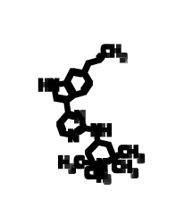 C=CCc1ccc2c(-c3ccnc(NC4CC(C)(C)NC(C)(C)C4)n3)c[nH]c2c1